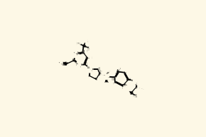 C[C@H](Oc1ccc(S(=O)(=O)[C@H]2CCN(c3cc(C(F)(F)F)nc(C#N)n3)C2)c(Cl)c1)C(F)(F)F